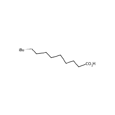 CC[C@@H](C)CCCCCCCCC(=O)O